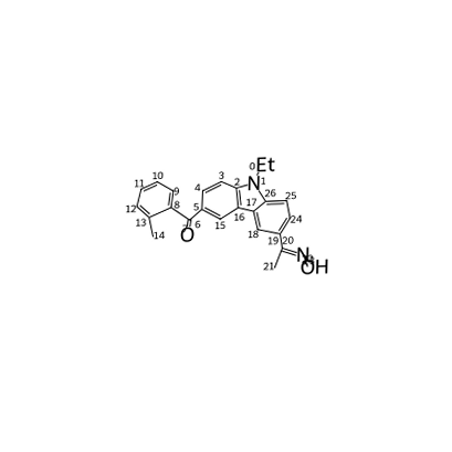 CCn1c2ccc(C(=O)c3ccccc3C)cc2c2cc(C(C)=NO)ccc21